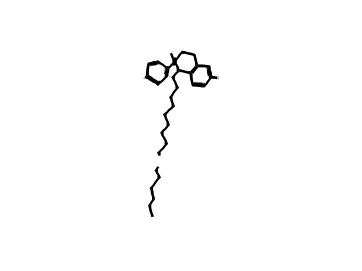 CCCCCCSCCCCCCCCCC1c2ccc(O)cc2CCC1(C)c1ccc(O)cc1